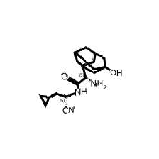 N#C[C@H](CC1CC1)NC(=O)[C@@H](N)C12CC3CC(CC(O)(C3)C1)C2